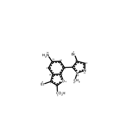 CCc1c(C(=O)O)oc2c(-c3c(Br)cnn3C)cc(N)cc12